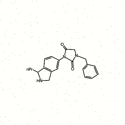 CCCC1NCc2cc(N3C(=O)CN(Cc4ccccc4)C3=O)ccc21